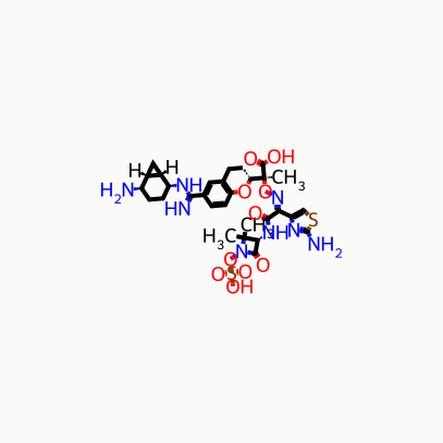 CC1(C)[C@H](NC(=O)/C(=N\O[C@](C)(C(=O)O)[C@H]2CCc3cc(C(=N)N[C@H]4CC[C@@H](N)[C@@H]5C[C@@H]54)ccc3O2)c2csc(N)n2)C(=O)N1OS(=O)(=O)O